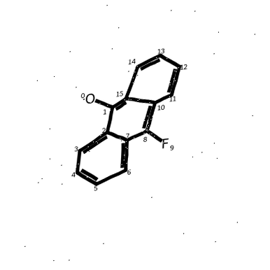 [O]c1c2ccccc2c(F)c2ccccc12